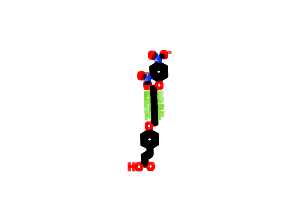 O=C(O)/C=C/c1ccc(OCC(F)(F)C(F)(F)C(F)(F)C(F)(F)COc2ccc([N+](=O)[O-])cc2[N+](=O)[O-])cc1